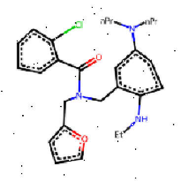 CCCN(CCC)c1ccc(NCC)c(CN(Cc2ccco2)C(=O)c2ccccc2Cl)c1